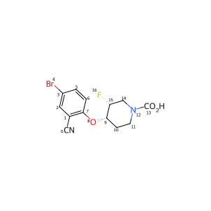 N#Cc1cc(Br)ccc1O[C@H]1CCN(C(=O)O)C[C@H]1F